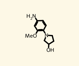 COc1cc(N)ccc1N1CCC(O)C1